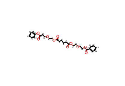 O=C(CCCCC(=O)OCCOCCC(=O)Oc1ccccc1)OCCOCCOC(=O)c1ccccc1